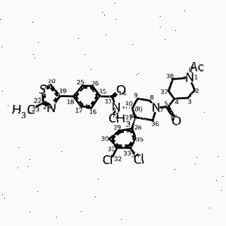 CC(=O)N1CCC(C(=O)N2CC[C@@H](N(C)C(=O)c3ccc(-c4csc(C)n4)cc3)[C@H](c3ccc(Cl)c(Cl)c3)C2)CC1